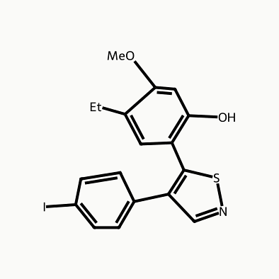 CCc1cc(-c2sncc2-c2ccc(I)cc2)c(O)cc1OC